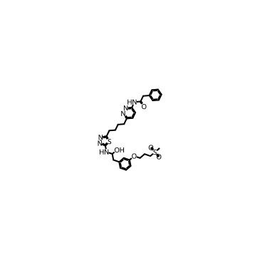 CS(=O)(=O)CCCOc1cccc(CC(O)Nc2nnc(CCCCc3ccc(NC(=O)Cc4ccccc4)nn3)s2)c1